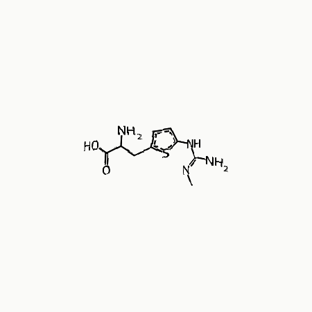 CN=C(N)Nc1ccc(CC(N)C(=O)O)s1